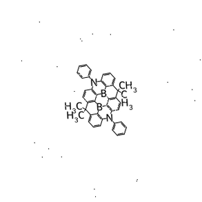 CC1(C)c2cccc3c2B2c4c(ccc5c4B4c6c(cccc6C5(C)C)N(c5ccccc5)c5ccc1c2c54)N3c1ccccc1